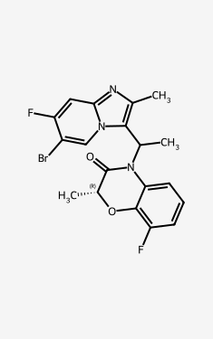 Cc1nc2cc(F)c(Br)cn2c1C(C)N1C(=O)[C@@H](C)Oc2c(F)cccc21